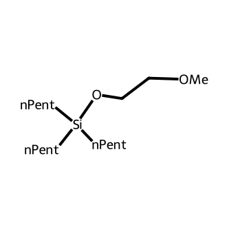 CCCCC[Si](CCCCC)(CCCCC)OCCOC